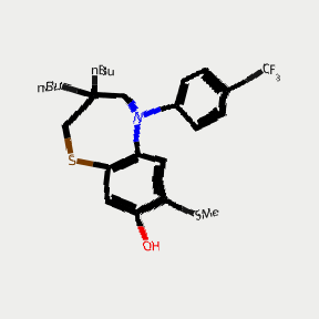 CCCCC1(CCCC)CSc2cc(O)c(SC)cc2N(c2ccc(C(F)(F)F)cc2)C1